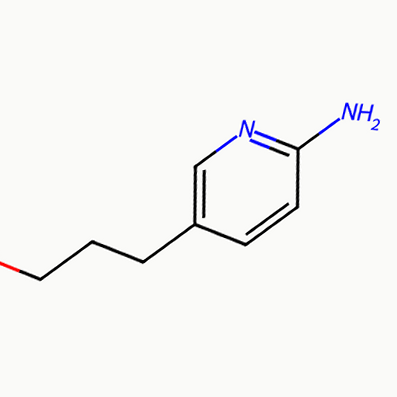 Nc1ccc(CCCO)cn1